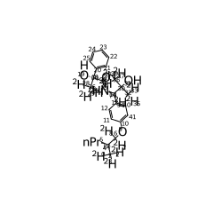 [2H]C([2H])([2H])[C@@H](CCC)C([2H])([2H])Oc1ccc([C@@H](NC(=O)[C@](O)(c2ccccc2)C([2H])([2H])[2H])C(O)(C([2H])([2H])[2H])C([2H])([2H])[2H])cc1